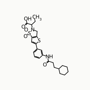 CCC(C(=O)O)N1Cc2sc(-c3cccc(NC(=O)CCC4CCCCC4)c3)cc2S1(=O)=O